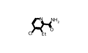 CCc1c(Cl)ccnc1C(N)=O